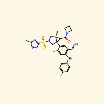 Cc1cc(Nc2ccc(F)cc2)c(C=N)cc1[C@@]12CN(S(=O)(=O)c3cnn(C)n3)C[C@@H]1[C@H]2C(=O)N1CCC1